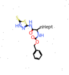 CCCCCCCC(NC(=O)OCc1ccccc1)C(=O)Nc1n[nH]c(=S)s1